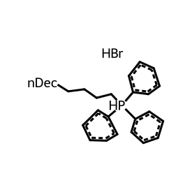 Br.CCCCCCCCCCCCCC[PH](c1ccccc1)(c1ccccc1)c1ccccc1